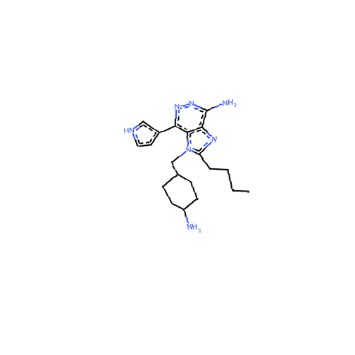 CCCCc1nc2c(N)nnc(-c3cc[nH]c3)c2n1CC1CCC(N)CC1